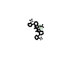 CC(C)C1=Cc2c(-c3ccccc3[Si](C)(C)C)cccc2[CH]1[Hf]([Cl])([Cl])([CH]1C(C(C)C)=Cc2c(-c3ccccc3[Si](C)(C)C)cccc21)[SiH](C)C